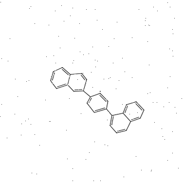 [c]1cc(-c2cccc3ccccc23)ccc1-c1ccc2ccccc2c1